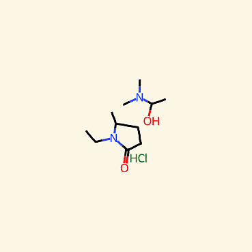 CC(O)N(C)C.CCN1C(=O)CCC1C.Cl